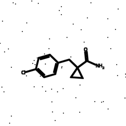 NC(=O)C1(Cc2c[c]c(Cl)cc2)CC1